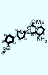 COC(=O)N1CCC[C@H](N)C1CO[C@H]1CC[C@@H](c2cccc(OSF)c2)CC1